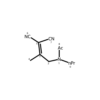 CCCN(CC(C)=C(C#N)C#N)C(C)=O